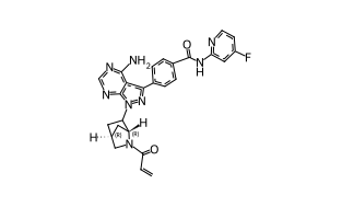 C=CC(=O)N1C[C@H]2CC(n3nc(-c4ccc(C(=O)Nc5cc(F)ccn5)cc4)c4c(N)ncnc43)[C@H]1C2